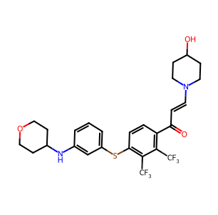 O=C(C=CN1CCC(O)CC1)c1ccc(Sc2cccc(NC3CCOCC3)c2)c(C(F)(F)F)c1C(F)(F)F